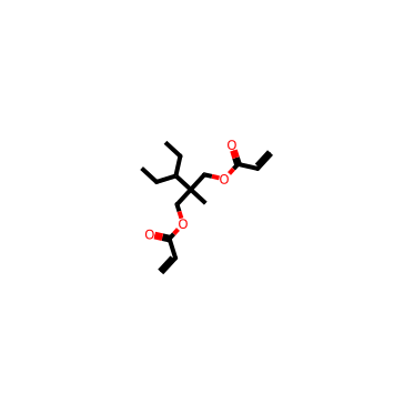 C=CC(=O)OCC(C)(COC(=O)C=C)C(CC)CC